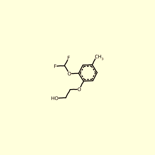 Cc1ccc(OCCO)c(OC(F)F)c1